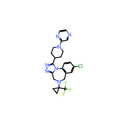 FC(F)(F)C1(N2Cc3cc(Cl)ccc3-n3c(nnc3C3CCN(c4cnccn4)CC3)C2)CC1